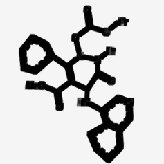 CCN1C(=O)C(Nc2cncc3ccccc23)C(C(=O)OC)=C(c2ccccc2)N1OC(=O)OC(C)C